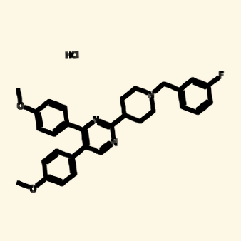 COc1ccc(-c2cnc(C3CCN(Cc4cccc(F)c4)CC3)nc2-c2ccc(OC)cc2)cc1.Cl